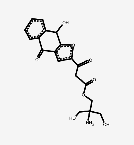 NC(CO)(CO)COC(=O)CC(=O)c1cc2c(o1)C(O)c1ccccc1C2=O